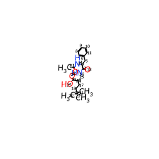 CC(=O)N[C@@H](Cc1ccccc1)C(=O)NC[C@H](CCC(C)(C)C)C(=O)O